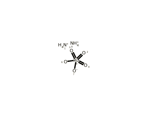 [NH4+].[NH4+].[O]=[Ru](=[O])(=[O])([O-])[O-]